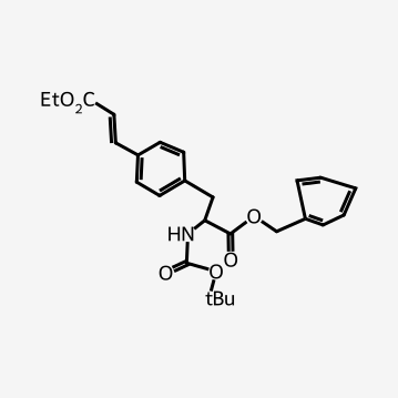 CCOC(=O)C=Cc1ccc(CC(NC(=O)OC(C)(C)C)C(=O)OCc2ccccc2)cc1